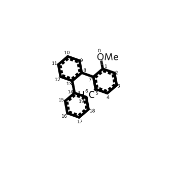 COc1cccc(C)c1-c1ccccc1-c1ccccc1